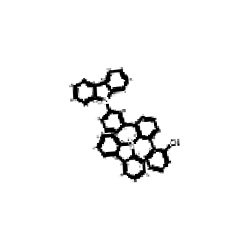 N#Cc1ccccc1-c1cccc(-c2cccc(-n3c4ccccc4c4ccccc43)c2)c1-n1c2ccccc2c2ccccc21